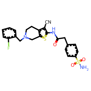 N#Cc1c(NC(=O)Cc2ccc(S(N)(=O)=O)cc2)sc2c1CCN(Cc1ccccc1F)C2